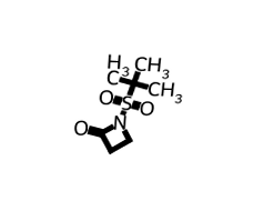 CC(C)(C)S(=O)(=O)N1CCC1=O